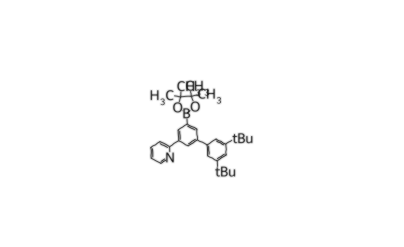 CC(C)(C)c1cc(-c2cc(B3OC(C)(C)C(C)(C)O3)cc(-c3ccccn3)c2)cc(C(C)(C)C)c1